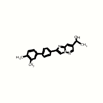 Cc1ccc(-c2ccc(-c3cn4ncc(C(C)O)cc4n3)cc2)cc1C